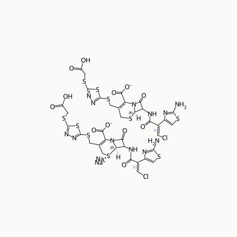 Nc1nc(/C(=C\Cl)C(=O)NC2C(=O)N3C(C(=O)[O-])=C(CSc4nnc(SCC(=O)O)s4)CS[C@H]23)cs1.Nc1nc(/C(=C\Cl)C(=O)NC2C(=O)N3C(C(=O)[O-])=C(CSc4nnc(SCC(=O)O)s4)CS[C@H]23)cs1.[Na+].[Na+]